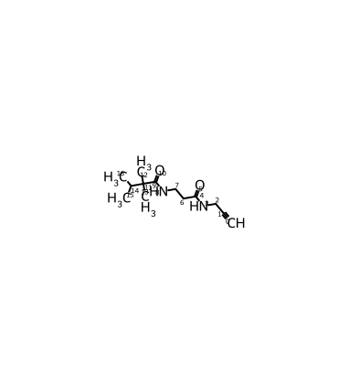 C#CCNC(=O)CCNC(=O)C(C)(C)C(C)C